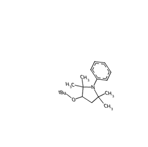 CC(C)(C)OC1CC(C)(C)N(c2ccccc2)C1(C)C